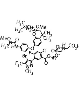 CC(C)OC(=O)c1cc(-c2nn(C)c(C(F)(F)F)c2Br)c(F)cc1Cl.CON(C)C(=O)Nc1ccc(Oc2ccc3c(c2)OC(C)(OC)CC3(C)C)cc1.C[S+](C)C.O=C(O)CNCP(=O)([O-])O